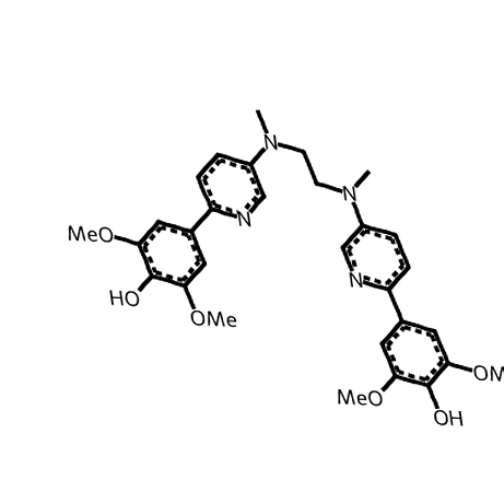 COc1cc(-c2ccc(N(C)CCN(C)c3ccc(-c4cc(OC)c(O)c(OC)c4)nc3)cn2)cc(OC)c1O